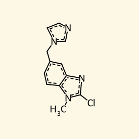 Cn1c(Cl)nc2cc(Cn3ccnc3)ccc21